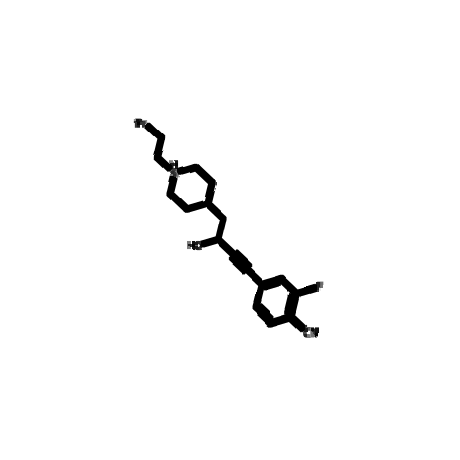 CC(C)CC[SiH]1CCC(CC(O)C#Cc2ccc(C#N)c(F)c2)CC1